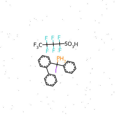 O=S(=O)(O)C(F)(F)C(F)(F)C(F)(F)C(F)(F)F.PC(I)(c1ccccc1)c1ccccc1-c1ccccc1